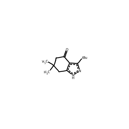 CC1(C)CC(=O)c2c(C(C)(C)C)n[nH]c2C1